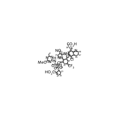 COc1nc(C)nc(NC(=O)NS(=O)(=O)c2ccsc2C(=O)O)n1.Nc1c([N+](=O)[O-])cnn1-c1c(Cl)cc(C(F)(F)F)cc1Cl.O=C(O)COc1ccc(Cl)c2cccnc12